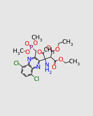 CCOC(=O)C(C(=O)OCC)C(N)(C(C)=O)c1nc2c(Cl)ccc(Cl)c2nc1CP(=O)(OC)OC